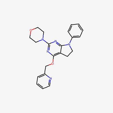 c1ccc(N2CCc3c(OCc4ccccn4)nc(N4CCOCC4)nc32)cc1